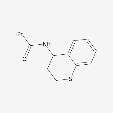 CC(C)C(=O)NC1CCSc2ccccc21